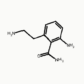 NC[CH]c1cccc(N)c1C(N)=O